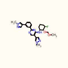 COCO[C@@H]1[C@H](F)CCC[C@@H]1Nc1nc(-c2cccc(-c3cnn(C)c3)c2)ncc1-c1cnn(C)c1